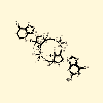 Nc1nc2c(ncn2[C@@H]2O[C@@H]3COP(=O)(S)O[C@@H]4[C@@H](COP(=O)(S)O[C@@H]2[C@@H]3F)O[C@@H](n2nnc3c2N=CCC3=O)C4(F)F)c(=O)[nH]1